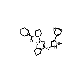 O=C([C@@H]1CCCN1c1nc2c(c(Nc3cc(-c4cccnc4)[nH]n3)n1)CCC2)N1CCCCC1